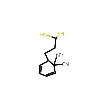 CCCC1(C#N)C=CC=CC1CCC(S)S